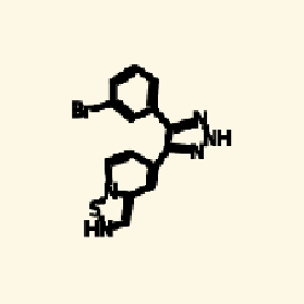 Brc1cccc(-c2n[nH]nc2C2=CC3=CNSN3C=C2)c1